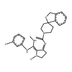 C=C(/N=C1/CC[S+]([O-])/C1=C(/NC)Nc1cccc(F)c1)N1CCC2(CC1)OCc1ccccc12